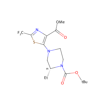 CC[C@@H]1CN(c2sc(C(F)(F)F)nc2C(=O)OC)CCN1C(=O)OC(C)(C)C